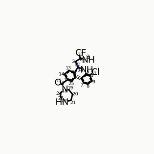 N=C(/C=C(\Nc1ccccc1Cl)c1ccc(C(=O)N2CCCNCC2)cc1)C(F)(F)F